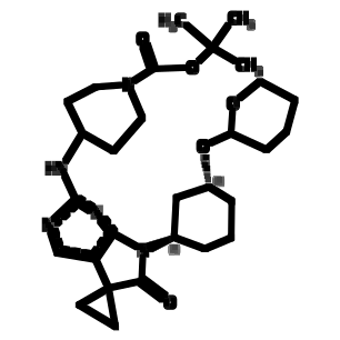 CC(C)(C)OC(=O)N1CCC(Nc2ncc3c(n2)N([C@@H]2CCC[C@@H](OC4CCCCO4)C2)C(=O)C32CC2)CC1